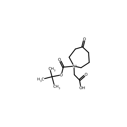 CC(C)(C)OC(=O)[N+]1(CC(=O)O)CCCC(=O)CC1